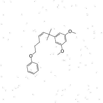 COc1cc(OC)cc(C(C)(C)/C=C\CCCOc2ccccc2)c1